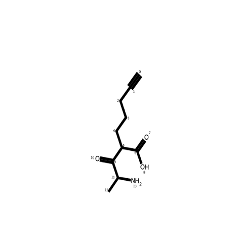 C#CCCCC(C(=O)O)C(=O)C(C)N